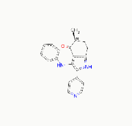 C[C@H]1CCc2[nH]c(-c3ccncc3)c(Nc3ccccc3)c2C1=O